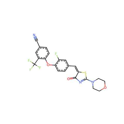 N#Cc1ccc(Oc2ccc(/C=C3/SC(N4CCOCC4)=NC3=O)cc2F)c(C(F)(F)F)c1